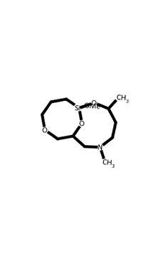 CO[Si]12CCCOCC(CN(C)CCC(C)O1)O2